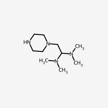 CN(C)C(CN1CCNCC1)N(C)C